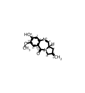 C=C1C[C@H]2C=Nc3cc(O)c(OC)cc3C(=O)N2C1